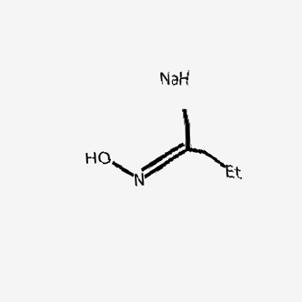 CCC(C)=NO.[NaH]